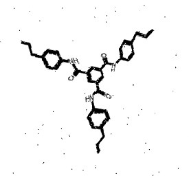 CCCc1ccc(NC(=O)c2cc(C(=O)Nc3ccc(CCC)cc3)cc(C(=O)Nc3ccc(CCC)cc3)c2)cc1